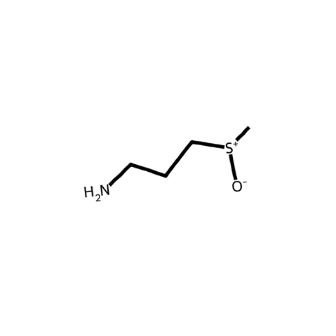 C[S+]([O-])CCCN